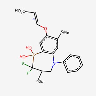 CCCCC1CN(c2ccccc2)c2cc(SC)c(O/C=C/C(=O)O)cc2S(O)(O)C1(F)F